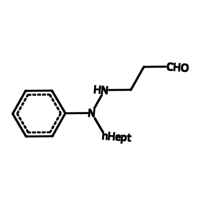 CCCCCCCN(NCCC=O)c1ccccc1